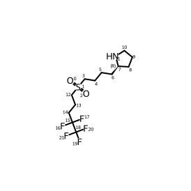 O=S(=O)(CCCC[C@@H]1CCCN1)CCCC(F)(F)C(F)(F)F